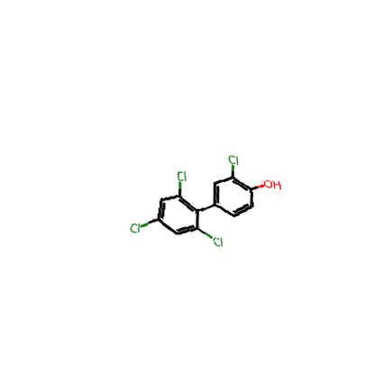 Oc1ccc(-c2c(Cl)cc(Cl)cc2Cl)cc1Cl